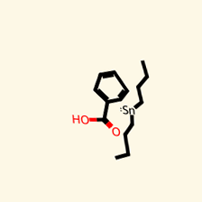 CCC[CH2][Sn][CH2]CCC.O=C(O)c1ccccc1